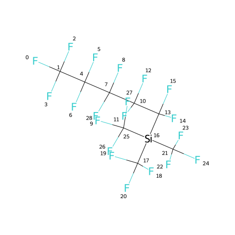 FC(F)(F)C(F)(F)C(F)(F)C(F)(F)C(F)(F)[Si](C(F)(F)F)(C(F)(F)F)C(F)(F)F